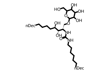 CCCCCCCCCCCCCCCCNC(=O)N[C@@H](COC1OC(CO)C(O)C(O)C1O)[C@H](O)[C@H](O)CCCCCCCCCCCCCC